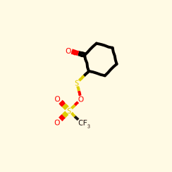 O=C1CCCCC1SOS(=O)(=O)C(F)(F)F